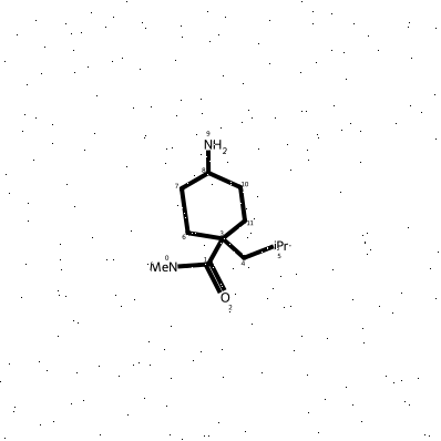 CNC(=O)C1(C[C](C)C)CCC(N)CC1